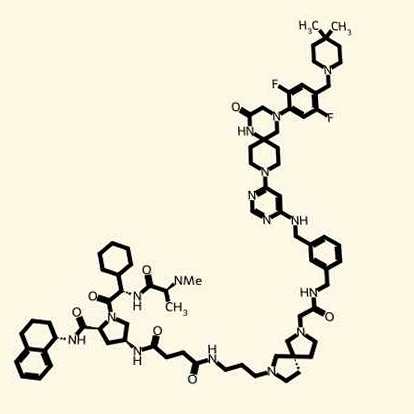 CN[C@@H](C)C(=O)N[C@H](C(=O)N1C[C@@H](NC(=O)CCC(=O)NCCCN2CC[C@]3(CCN(CC(=O)NCc4cccc(CNc5cc(N6CCC7(CC6)CN(c6cc(F)c(CN8CCC(C)(C)CC8)cc6F)CC(=O)N7)ncn5)c4)C3)C2)C[C@H]1C(=O)N[C@H]1CCCc2ccccc21)C1CCCCC1